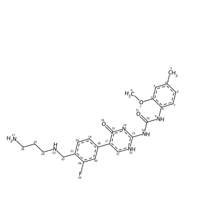 COc1cc(C)ccc1NC(=O)Nc1nc(=O)c(-c2ccc(CNCCCN)c(F)c2)c[nH]1